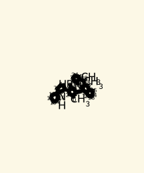 Cc1cc(-c2cccc3c2[nH]c2ccccc23)c2c3c1c1c4ccccc4cc4c1n3-c1c(cccc1C4(C)C)B2